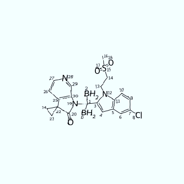 BC(B)(c1cc2cc(Cl)ccc2n1CCS(C)(=O)=O)N1C(=O)C2(CC2)c2ccncc21